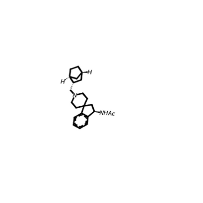 CC(=O)N[C@@H]1CC2(CCN(C[C@H]3C[C@H]4CC[C@H]3C4)CC2)c2ccccc21